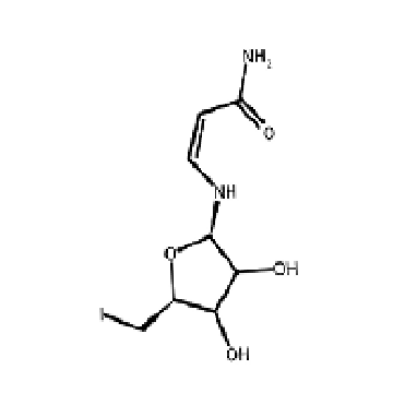 NC(=O)/C=C\N[C@@H]1O[C@H](CI)C(O)C1O